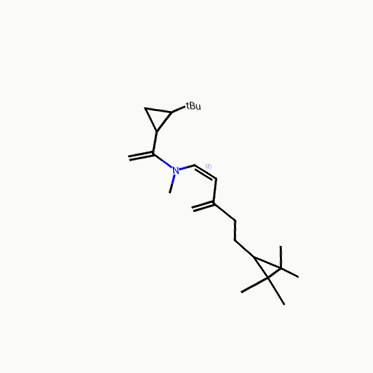 C=C(/C=C\N(C)C(=C)C1CC1C(C)(C)C)CCC1C(C)(C)C1(C)C